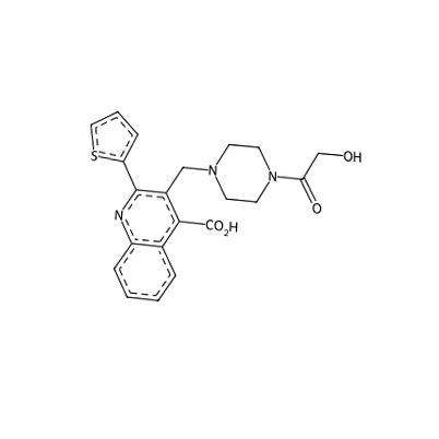 O=C(O)c1c(CN2CCN(C(=O)CO)CC2)c(-c2cccs2)nc2ccccc12